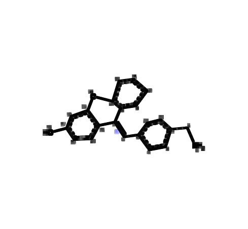 NCc1ccc(/C=C2\c3ccccc3Oc3cc(O)ccc32)cc1